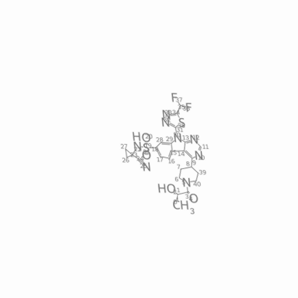 C[C@@H](O)C(=O)N1CCC(c2ncnc3c2c2ccc(S(=O)(=O)NC4(C#N)CC4)cc2n3-c2nnc(C(F)F)s2)CC1